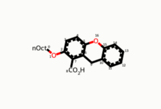 CCCCCCCCOc1ccc2c(c1C(=O)O)Cc1ccccc1O2